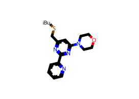 CCC(C)SCc1cc(N2CCOCC2)nc(-c2ccccn2)n1